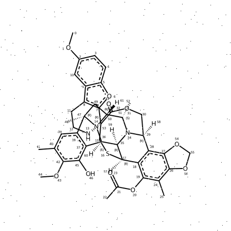 COc1ccc2oc3c(c2c1)CCN[C@]31CS[C@@H]2c3c(OC(C)=O)c(C)c4c(c3[C@H](COC1=O)N1[C@@H]2[C@H]2c3c(cc(C)c(OC)c3O)[C@@]3(C)C[C@H]([C@@H]1C)N23)OCO4